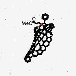 COC(=O)CCCC(c1ccccc1)C12C3=C4C5=CC3c3ccc6c(c31)-c1c3c7c8c9c%10c%11c%12c(c4c4c%11c8c1C42)C5=CC1CC2CC4CC5CC(C=C63)C7C5=C9C4C%10=C2C%121